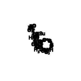 CC(C)(C)OC(=O)[C@H](CCCCN1C(=O)C=CC1=O)NC(=O)CNC(=O)c1cccc(C2CC(C)(C)OC(=O)NCCOCCOCCOCC(=O)N2)c1